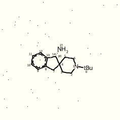 CC(C)(C)N1CCC2(CC1)Cc1ccccc1[C@@H]2N